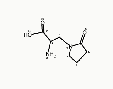 NC(CN1CCCC1=O)C(=O)O